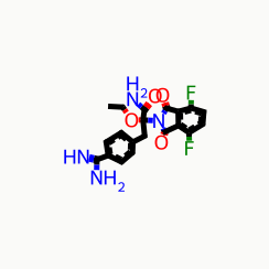 CCOC(Cc1ccc(C(=N)N)cc1)(C(N)=O)N1C(=O)c2c(F)ccc(F)c2C1=O